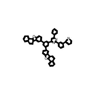 c1ccc(-c2cc(-c3cc(-c4ccc5oc6c7ccccc7ccc6c5c4)cc(-c4ccc5oc6c7ccccc7ccc6c5c4)c3)nc(-c3cccc(-c4cccnc4)c3)n2)cc1